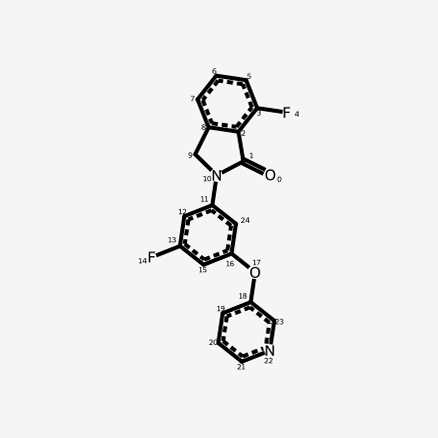 O=C1c2c(F)cccc2CN1c1cc(F)cc(Oc2cccnc2)c1